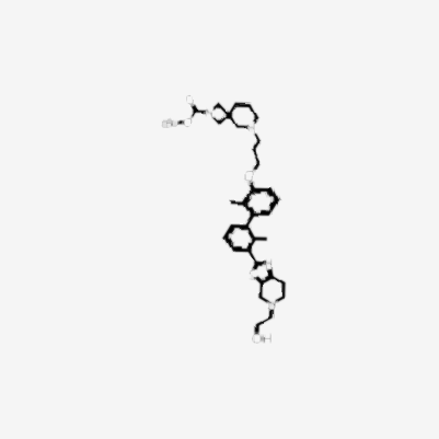 Cc1c(OCCCN2CCCC3(C2)CN(C(=O)OC(C)(C)C)C3)cccc1-c1cccc(-c2nc3c(s2)CN(CCO)CC3)c1C